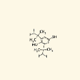 CC(C)(c1cc(S)cc(C(C)(C)C(I)I)c1O)C(I)I